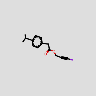 CC(C)c1ccc(CC(=O)OCC#CI)cc1